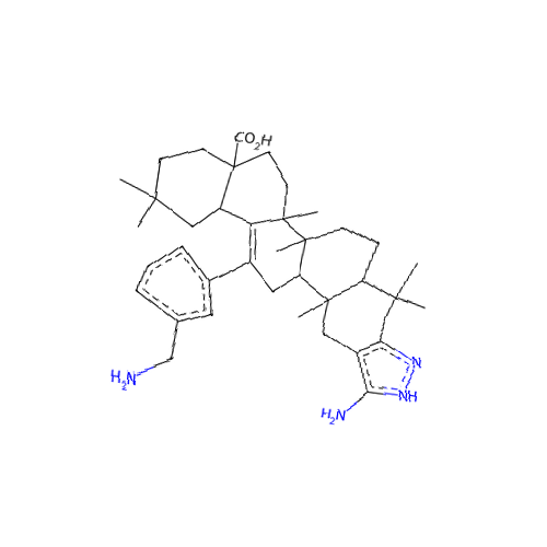 CC1(C)CCC2(C(=O)O)CCC3(C)C(=C(c4cccc(CN)c4)CC4C5(C)Cc6c(n[nH]c6N)C(C)(C)C5CCC43C)C2C1